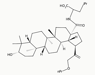 C=C(COCCC)[C@@H]1CC[C@]2(C(=O)NC(CC(C)C)C(=O)O)CC[C@]3(C)[C@H](CC[C@@H]4[C@@]5(C)CC[C@H](O)C(C)(C)[C@@H]5CC[C@]43C)[C@@H]12